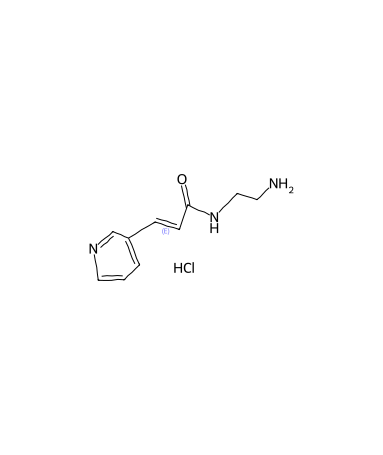 Cl.NCCNC(=O)/C=C/c1cccnc1